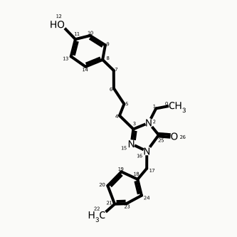 CCn1c(CCCCc2ccc(O)cc2)nn(Cc2ccc(C)cc2)c1=O